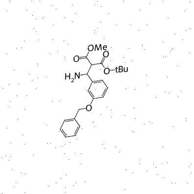 COC(=O)C(C(=O)OC(C)(C)C)C(N)c1cccc(OCc2ccccc2)c1